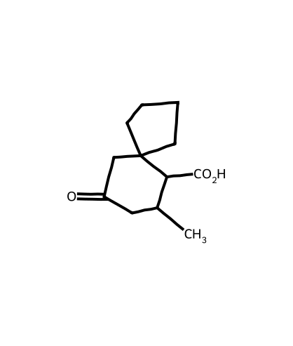 CC1CC(=O)CC2(CCCC2)C1C(=O)O